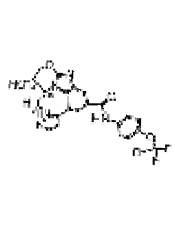 C[C@@H]1[C@H](O)COc2nc3cc(C(=O)Nc4ccc(OC(F)(F)Cl)cc4)cc(-c4ccn[nH]4)c3n21